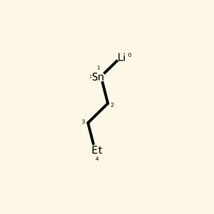 [Li][Sn][CH2]CCC